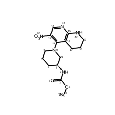 CC(C)(C)OC(=O)N[C@H]1CCCN(c2c([N+](=O)[O-])cnc3c2CCCN3)C1